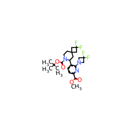 COC(=O)c1ccc(C2CC3(CCN2C(=O)OC(C)(C)C)CC(F)(F)C3)c(N2CC(F)(F)C2)n1